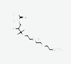 CNCCOCCNCCOC(C)(C)C(P)CNC(=O)C(C)C